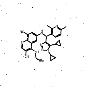 Cc1nc(F)ccc1C(Nc1cc(C#N)c2ncc(C#N)c(NCC(C)(C)C)c2c1)c1nnn(C2CC2)c1C1CC1